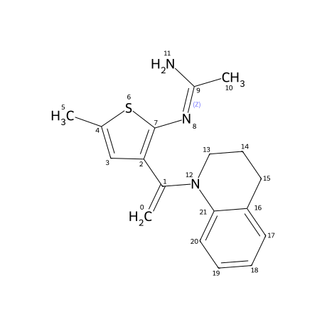 C=C(c1cc(C)sc1/N=C(/C)N)N1CCCc2ccccc21